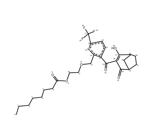 CCCCCCCC(=O)OCCOCc1nc(C(F)(F)F)ccc1C(=O)C1=C(O)C2CCC(C2)C1=O